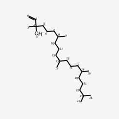 C=CC(C)(O)CCCC(C)CCCC(C)CCCC(C)CCCC(C)C